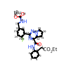 CCOC(=O)Cc1ccccc1NC(=O)c1nc(-c2cc(CNC(=O)OC(C)(C)C)ccc2F)nn2cccc12